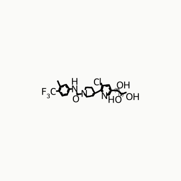 Cc1cc(NC(=O)N2CC=C(c3ncc([C@H](O)[C@@H](O)CO)cc3Cl)CC2)ccc1C(F)(F)F